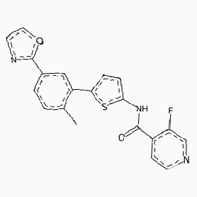 Cc1ccc(-c2ncco2)cc1-c1ccc(NC(=O)c2ccncc2F)s1